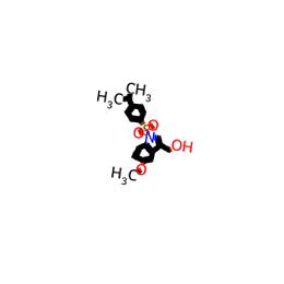 COc1ccc2c(c1)c(CO)cn2S(=O)(=O)c1ccc(C(C)C)cc1